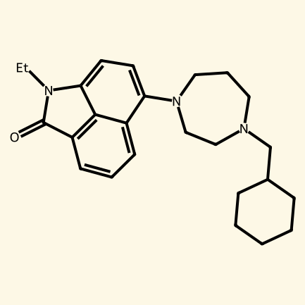 CCN1C(=O)c2cccc3c(N4CCCN(CC5CCCCC5)CC4)ccc1c23